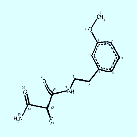 COc1cccc(CCNC(=O)C(F)C(N)=O)c1